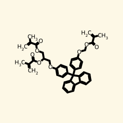 C=C(C)C(=O)OCOc1ccc(C2(c3ccc(OCC(COC(=O)C(=C)C)OC(=O)C(=C)C)cc3)c3ccccc3-c3ccccc32)cc1